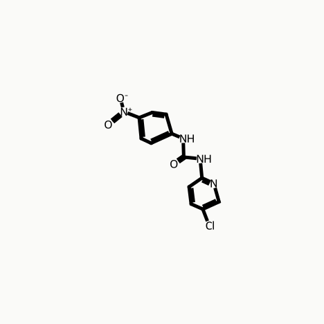 O=C(Nc1ccc([N+](=O)[O-])cc1)Nc1ccc(Cl)cn1